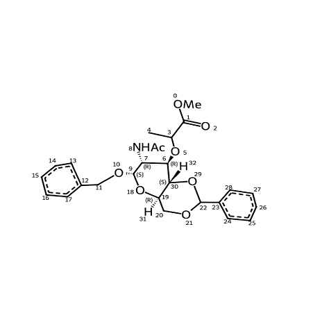 COC(=O)C(C)O[C@@H]1[C@@H](NC(C)=O)[C@@H](OCc2ccccc2)O[C@@H]2COC(c3ccccc3)O[C@@H]12